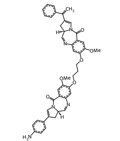 C=C(C1=CN2C(=O)c3cc(OC)c(OCCCOc4cc5c(cc4OC)C(=O)N4C=C(c6ccc(N)cc6)C[C@H]4C=N5)cc3N=C[C@@H]2C1)c1ccccc1